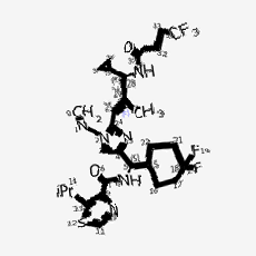 C=Nn1cc([C@@H](NC(=O)c2ncsc2C(C)C)C2CCC(F)(F)CC2)nc1/C=C(\C)[C@H](NC(=O)CCC(F)(F)F)C1CC1